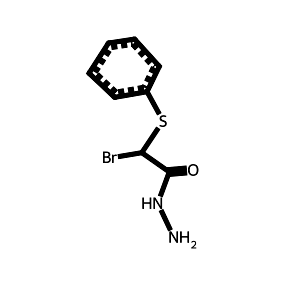 NNC(=O)C(Br)Sc1ccccc1